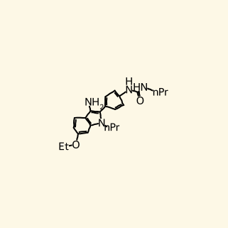 CCCNC(=O)Nc1ccc(-c2c(N)c3ccc(OCC)cc3n2CCC)cc1